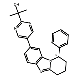 CC(C)(O)c1ncc(-c2ccc3nc4n(c3c2)[C@@H](c2ccccc2)CCC4)cn1